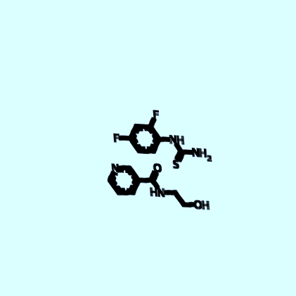 NC(=S)Nc1ccc(F)cc1F.O=C(NCCO)c1cccnc1